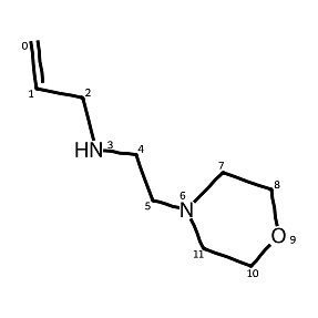 C=CCNCCN1CCOCC1